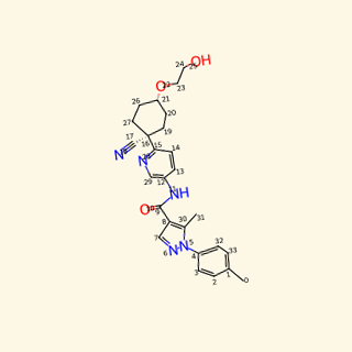 Cc1ccc(-n2ncc(C(=O)Nc3ccc([C@]4(C#N)CC[C@@H](OCCO)CC4)nc3)c2C)cc1